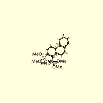 CO[Si](OC)(OC)c1ccc2c(ccc3ccccc32)c1[Si](OC)(OC)OC